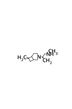 C=C1CC2CN(C(=C)CNC)CCC12